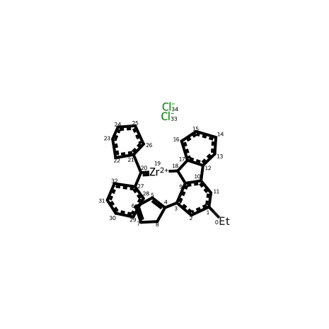 CCc1cc(C2=CC=CC2)c2c(c1)-c1ccccc1[CH]2[Zr+2]=[C](c1ccccc1)c1ccccc1.[Cl-].[Cl-]